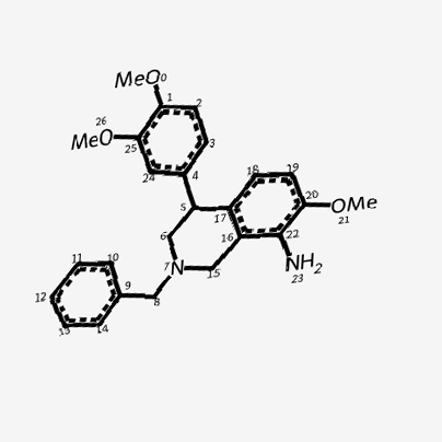 COc1ccc(C2CN(Cc3ccccc3)Cc3c2ccc(OC)c3N)cc1OC